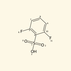 O=S(=O)(O)c1c(F)cccc1F